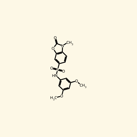 COc1cc(NS(=O)(=O)c2ccc3c(c2)oc(=O)n3C)cc(OC)c1